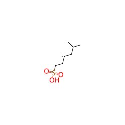 CC(C)C[CH]CCS(=O)(=O)O